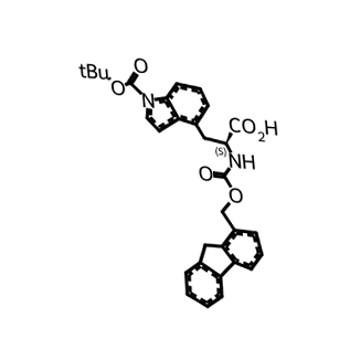 CC(C)(C)OC(=O)n1ccc2c(C[C@H](NC(=O)OCc3cccc4c3Cc3ccccc3-4)C(=O)O)cccc21